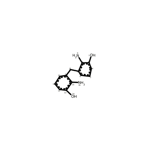 Nc1c(O)cccc1[C]c1cccc(O)c1N